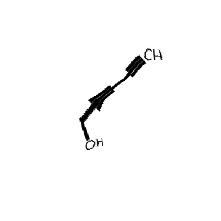 C#CC#CCO